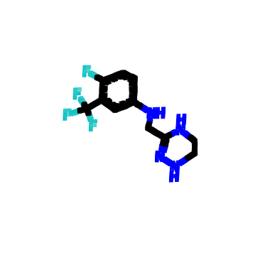 Fc1ccc(NCC2=NNCCN2)cc1C(F)(F)F